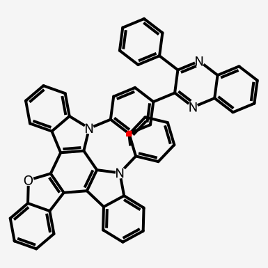 Cc1cc(-c2nc3ccccc3nc2-c2ccccc2)ccc1-n1c2ccccc2c2c3oc4ccccc4c3c3c4ccccc4n(-c4ccccc4)c3c21